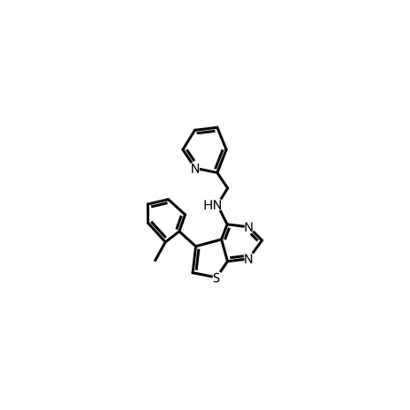 Cc1ccccc1-c1csc2ncnc(NCc3ccccn3)c12